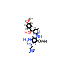 COc1cc(N(C)CCN(C)C)c(N)cc1Nc1nccc(C(O)c2ccc(OC(C)C)cc2)n1